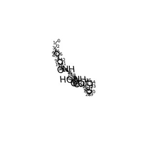 CCCCc1ccc(-c2ccc(C(=O)NCCCC[C@H](NC(=O)OCC3c4ccccc4-c4ccccc43)C(=O)O)cc2)cc1